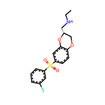 CCNC[C@@H]1COc2ccc(S(=O)(=O)c3cccc(F)c3)cc2O1